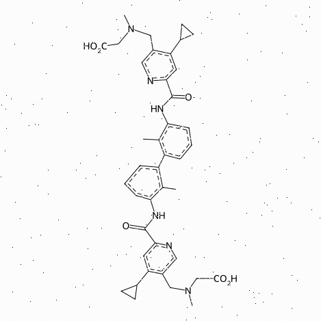 Cc1c(NC(=O)c2cc(C3CC3)c(CN(C)CC(=O)O)cn2)cccc1-c1cccc(NC(=O)c2cc(C3CC3)c(CN(C)CC(=O)O)cn2)c1C